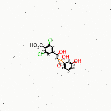 O=C(O)c1c(Cl)cc(C(O)CP(=O)(O)c2cccc(O)c2)cc1Cl